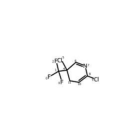 FC(F)(F)C1(Cl)C=NC(Cl)=CC1